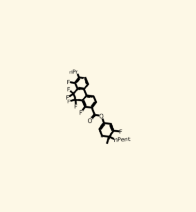 CCCCCC1(C)CC=C(OC(=O)c2ccc3c(c2F)C(F)(F)C(F)(F)c2c-3ccc(CCC)c2F)C=C1F